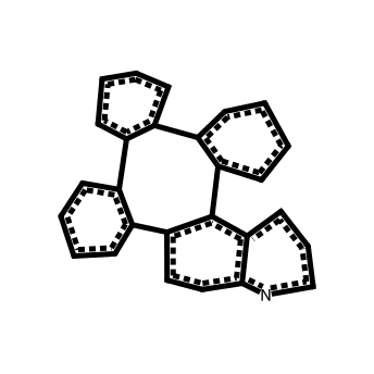 c1ccc2c(c1)-c1ccccc1-c1ccc3ncccc3c1-c1ccccc1-2